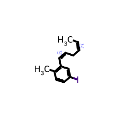 C/C=C\C/C=C\c1cc(I)ccc1C